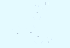 O=S(=O)(O)c1ccc(-c2cc(-c3ccccc3)cc(-c3cccc(S(=O)(=O)O)c3)c2)cc1